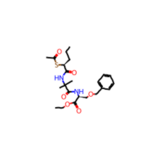 CCC[C@H](SC(C)=O)C(=O)NC(C)(C)C(=O)N[C@@H](COCc1ccccc1)C(=O)OCC